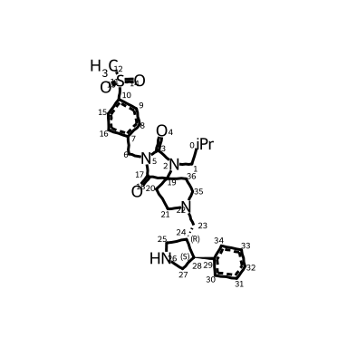 CC(C)CN1C(=O)N(Cc2ccc(S(C)(=O)=O)cc2)C(=O)C12CCN(C[C@H]1CNC[C@@H]1c1ccccc1)CC2